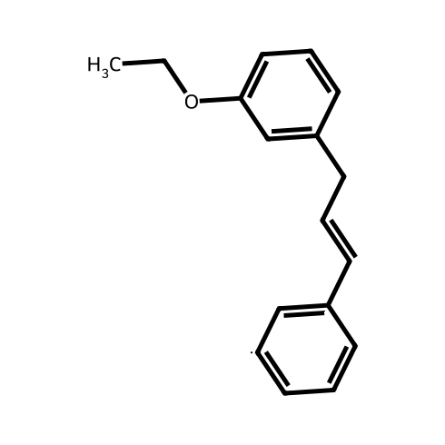 CCOc1cccc(C/C=C/c2c[c]ccc2)c1